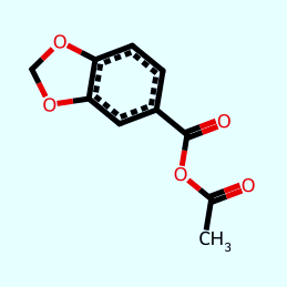 CC(=O)OC(=O)c1ccc2c(c1)OCO2